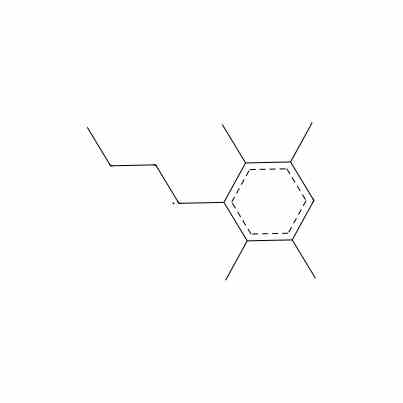 CCC[CH]c1c(C)c(C)cc(C)c1C